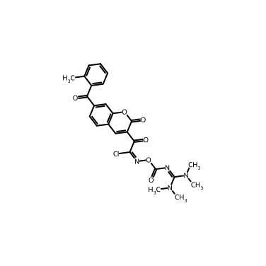 Cc1ccccc1C(=O)c1ccc2cc(C(=O)/C(Cl)=N\OC(=O)N=C(N(C)C)N(C)C)c(=O)oc2c1